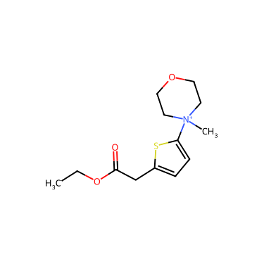 CCOC(=O)Cc1ccc([N+]2(C)CCOCC2)s1